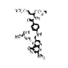 NP(O)O.Nc1nc2ncc(CNc3ccc(C(=O)NC(CCC(=O)O)C(=O)O)cc3)nc2c(=O)[nH]1